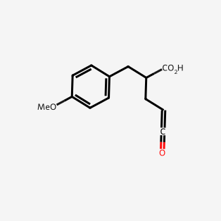 COc1ccc(CC(CC=C=O)C(=O)O)cc1